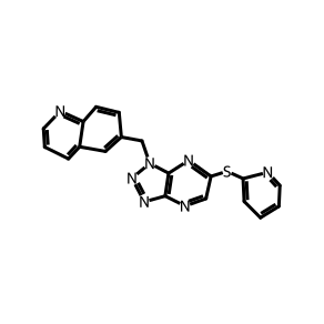 c1ccc(Sc2cnc3nnn(Cc4ccc5ncccc5c4)c3n2)nc1